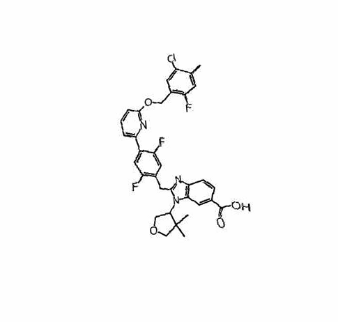 Cc1cc(F)c(COc2cccc(-c3cc(F)c(Cc4nc5ccc(C(=O)O)cc5n4C4COCC4(C)C)cc3F)n2)cc1Cl